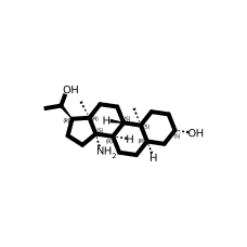 CC(O)[C@@H]1CC[C@]2(N)[C@@H]3CC[C@@H]4C[C@@H](O)CC[C@]4(C)[C@H]3CC[C@]12C